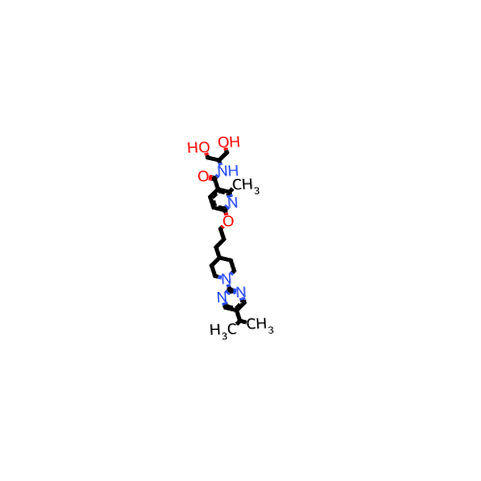 Cc1nc(OCCCC2CCN(c3ncc(C(C)C)cn3)CC2)ccc1C(=O)NC(CO)CO